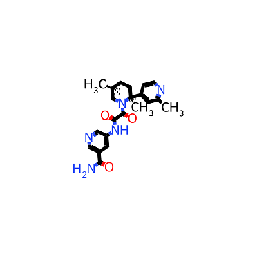 Cc1cc([C@]2(C)CC[C@H](C)CN2C(=O)C(=O)Nc2cncc(C(N)=O)c2)ccn1